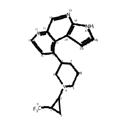 FC(F)(F)[C]1CC1N1CCCC(c2ccnc3cnc4[nH]ccc4c23)C1